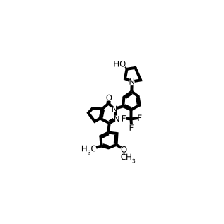 COc1cc(C)cc(-c2nn(-c3cc(N4CC[C@@H](O)C4)ccc3C(F)(F)F)c(=O)c3c2CCC3)c1